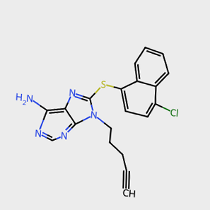 C#CCCCn1c(Sc2ccc(Cl)c3ccccc23)nc2c(N)ncnc21